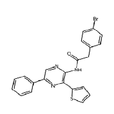 O=C(Cc1ccc(Br)cc1)Nc1ncc(-c2ccccc2)nc1-c1cccs1